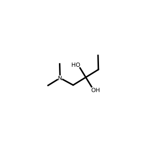 CCC(O)(O)CN(C)C